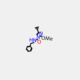 COc1nc(C2CC2)cn1C(=O)NCCc1ccccc1